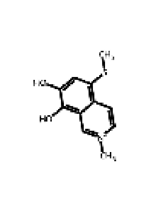 CSc1cc(O)c(O)c2c[n+](C)ccc12